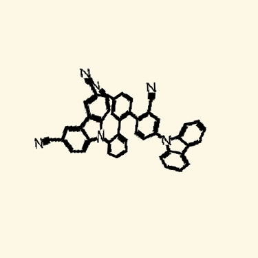 N#Cc1ccc(-c2ccc(-n3c4ccccc4c4ccccc43)cc2C#N)c(-c2ccccc2-n2c3ccc(C#N)cc3c3cc(C#N)ccc32)c1